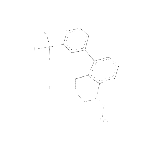 Cl.NCC1COCc2c(-c3ccnc(C(F)(F)F)c3)cccc21